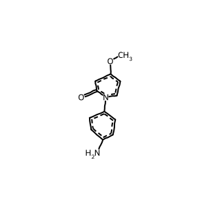 COc1ccn(-c2ccc(N)cc2)c(=O)c1